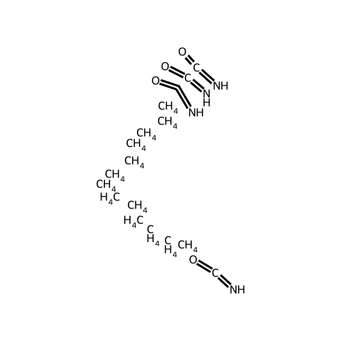 C.C.C.C.C.C.C.C.C.C.C.C.C.N=C=O.N=C=O.N=C=O.N=C=O